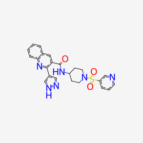 O=C(NC1CCN(S(=O)(=O)c2cccnc2)CC1)c1cc2ccccc2nc1-c1cn[nH]c1